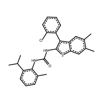 Cc1cc2sc(NC(=O)Nc3c(C)cccc3C(C)C)c(-c3ccccc3Cl)c2cc1C